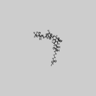 CCOC(=O)CCCCCNC(=O)Nc1cc(C)c(-c2cccc(S(=O)(=O)c3cc(C=NNC(=O)OC(C)(C)C)sc3SC)c2)c([N+](=O)[O-])c1